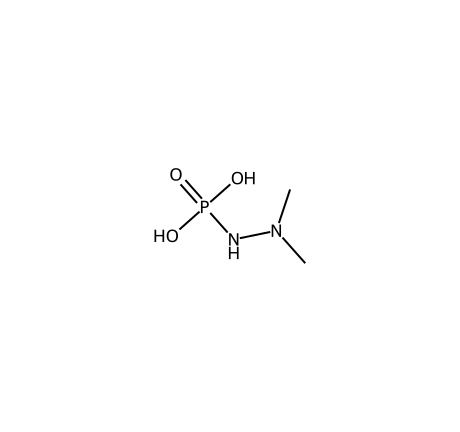 CN(C)NP(=O)(O)O